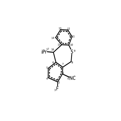 [C-]#[N+]c1c(F)ccc2c1CSc1ccccc1C2C(C)C